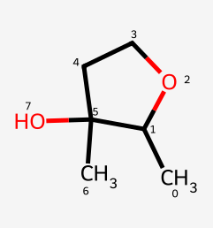 CC1OCCC1(C)O